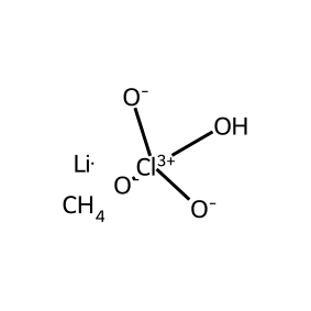 C.[Li].[O-][Cl+3]([O-])([O-])O